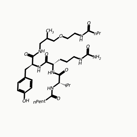 CCCCCC(=O)N[C@H](C(=O)N[C@@H](CCCNC(N)=O)C(=O)N[C@@H](Cc1ccc(O)cc1)C(=O)NCC(C)COCCNC(=O)CCC)C(C)C